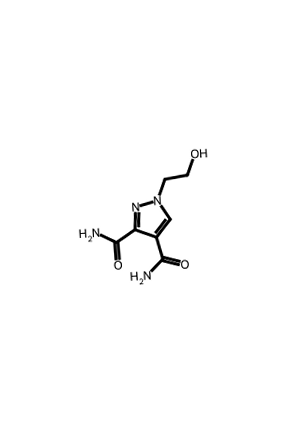 NC(=O)c1cn(CCO)nc1C(N)=O